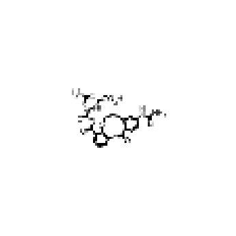 N=C(N)Nc1ccc2c(c1)CCCOc1c(cccc1C(=O)OC(=O)[C@H](CC(N)=O)NCC(=O)O)OC2=O